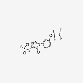 O=c1n(-c2cccc(OC(F)(F)C(F)F)c2)cnn1SC(F)(Cl)Cl